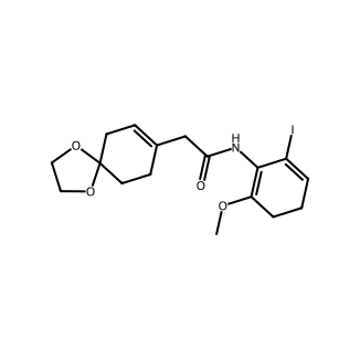 COC1=C(NC(=O)CC2=CCC3(CC2)OCCO3)C(I)=CCC1